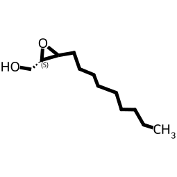 CCCCCCCCCC1O[C@H]1CO